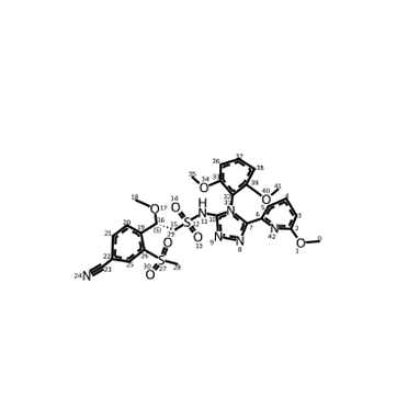 COc1cccc(-c2nnc(NS(=O)(=O)C[C@@H](OC)c3ccc(C#N)cc3S(C)(=O)=O)n2-c2c(OC)cccc2OC)n1